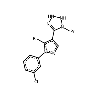 CC(C)N1NNN=C1c1cnn(-c2cccc(Cl)c2)c1Br